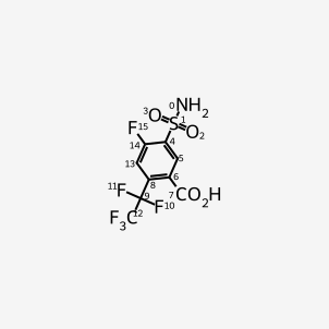 NS(=O)(=O)c1cc(C(=O)O)c(C(F)(F)C(F)(F)F)cc1F